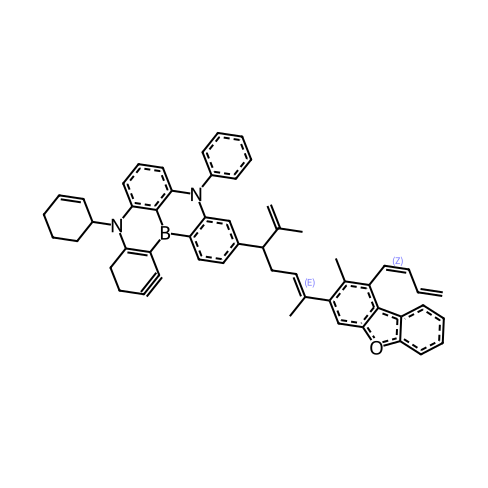 C=C/C=C\c1c(C)c(/C(C)=C/CC(C(=C)C)c2ccc3c(c2)N(c2ccccc2)c2cccc4c2B3C2=C(CCC#C2)N4C2C=CCCC2)cc2oc3ccccc3c12